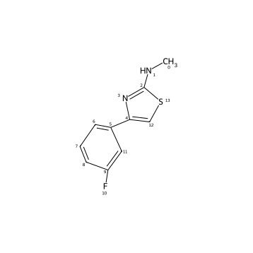 CNc1nc(-c2cccc(F)c2)cs1